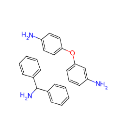 NC(c1ccccc1)c1ccccc1.Nc1ccc(Oc2cccc(N)c2)cc1